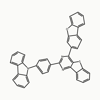 c1ccc2c(c1)oc1cc(-c3nc(-c4ccc(-n5c6ccccc6c6ccccc65)cc4)nc4c3sc3ccccc34)ccc12